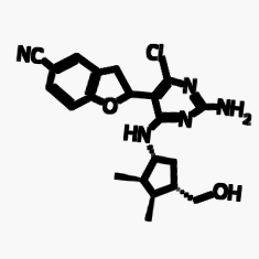 C[C@@H]1[C@@H](CO)C[C@@H](Nc2nc(N)nc(Cl)c2C2Cc3cc(C#N)ccc3O2)[C@@H]1C